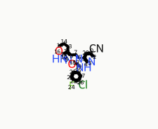 N#Cc1cncc(N(Cc2n[nH]c3c2CCCO3)C(=O)Nc2ccc(F)c(Cl)c2)c1